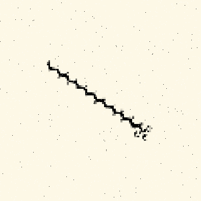 CCCCCCCCCCCCCCCCCC/C=C/CS(=O)(=O)O